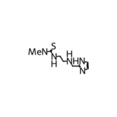 CNC(=S)NCCNCc1ncc[nH]1